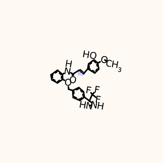 COc1ccc(/C=C/C(=O)Nc2ccccc2OCc2ccc(C3(C(F)(F)F)NN3)cc2)cc1O